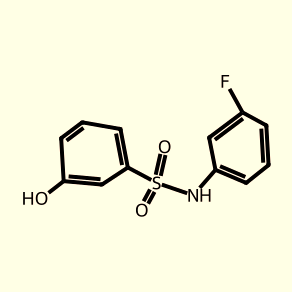 O=S(=O)(Nc1cccc(F)c1)c1cccc(O)c1